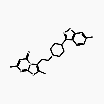 Cc1cc(=O)n2c(CCN3CCC(c4noc5cc(F)ccc45)CC3)c(C)sc2n1